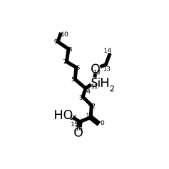 C=C(CCC(CCCCCC)[SiH2]OCC)C(=O)O